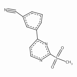 CS(=O)(=O)c1nccc(-c2cccc(C#N)c2)n1